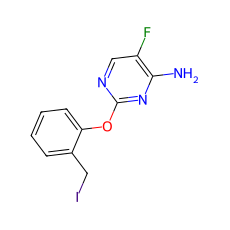 Nc1nc(Oc2ccccc2CI)ncc1F